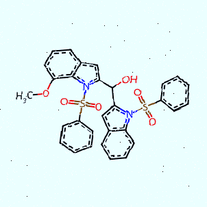 COc1cccc2cc(C(O)c3cc4ccccc4n3S(=O)(=O)c3ccccc3)n(S(=O)(=O)c3ccccc3)c12